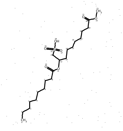 CCCCCCCCCC(=O)OC(CCCCCCCC(=O)OC)CS(=O)(=O)O